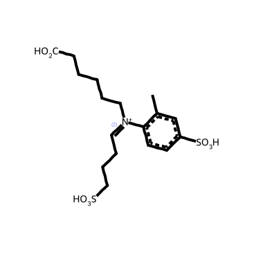 Cc1cc(S(=O)(=O)O)ccc1/[N+](=C\CCCS(=O)(=O)O)CCCCCC(=O)O